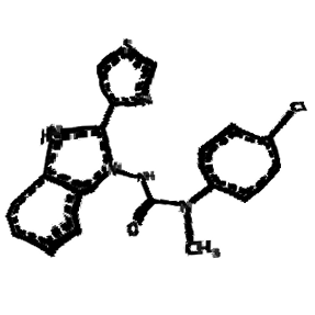 CN(C(=O)N[n+]1c(-c2cscn2)[nH]c2ccccc21)c1ccc(Cl)cc1